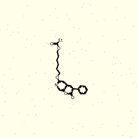 CCC(=O)OCCCCCCOc1cc2cc(-c3ccccc3)c(=O)oc2cn1